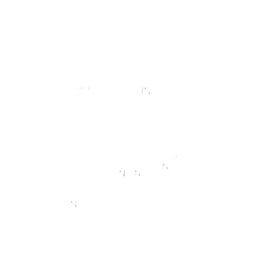 O=C(C=Cc1cccc(NC(=O)c2cccc(C(F)(F)F)c2)c1)Nc1ccccc1-c1nnc(-c2ccncc2)o1